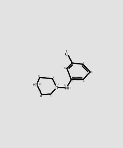 Clc1cccc(NN2CCNCC2)c1